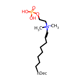 CCCCCCCCCCCCCCCCC=C[N+](C)(C)CCOP(=O)(O)O